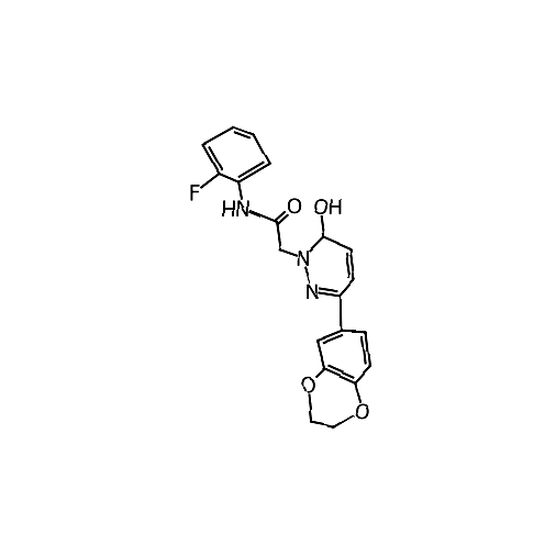 O=C(CN1N=C(c2ccc3c(c2)OCCO3)C=CC1O)Nc1ccccc1F